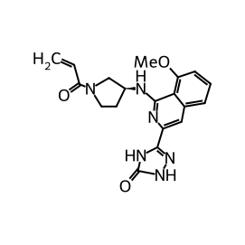 C=CC(=O)N1CC[C@H](Nc2nc(-c3n[nH]c(=O)[nH]3)cc3cccc(OC)c23)C1